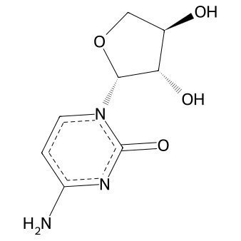 Nc1ccn([C@@H]2OC[C@@H](O)[C@@H]2O)c(=O)n1